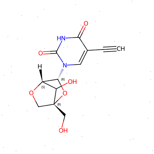 C#Cc1cn([C@@H]2O[C@]3(CO)CO[C@H]2C3O)c(=O)[nH]c1=O